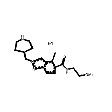 COCCNC(=O)c1ccc2nn(CC3CCNCC3)cc2c1C.Cl